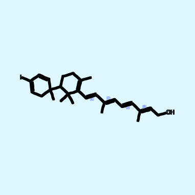 CC1=C(/C=C/C(C)=C/C=C/C(C)=C/CO)C(C)(C)C(C2(C)C=CC(I)=CC2)CC1